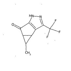 CC1C2C(=O)c3[nH]nc(C(F)(F)F)c3C12